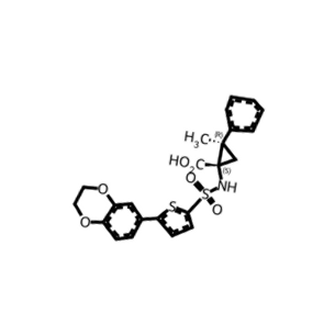 C[C@]1(c2ccccc2)C[C@@]1(NS(=O)(=O)c1ccc(-c2ccc3c(c2)OCCO3)s1)C(=O)O